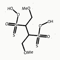 COCC(C(COC)S(=O)(=S)OO)S(=O)(=S)OO